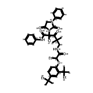 CCC(Oc1ccc(C(C)(C)CC)cc1C(C)(C)CC)C(=O)NCC(C)(C)C(=O)C(Cl)(C(=O)Nc1ccccc1)N1C(=O)CN(c2ccccc2)C1=O